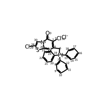 O=c1c(Cl)c(C[P+](c2ccccc2)(c2ccccc2)c2ccccc2)nc2sc(Cl)cn12.[Cl-]